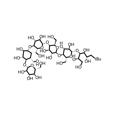 CC(C)(C)C[C@H](O)[C@@H](O)[C@H](O[C@@H]1O[C@H](CO)[C@@H](O[C@@H]2O[C@H](CO)[C@@H](O[C@@H]3O[C@H](CO)[C@@H](O[C@@H]4C[C@H](CO)[C@@H](O[C@@H]5O[C@H](CO)[C@@H](O)[C@H](O)[C@H]5O)[C@H](O)[C@H]4O)[C@H](O)[C@H]3O)[C@H](O)[C@H]2O)[C@H](O)[C@H]1O)[C@H](O)CO